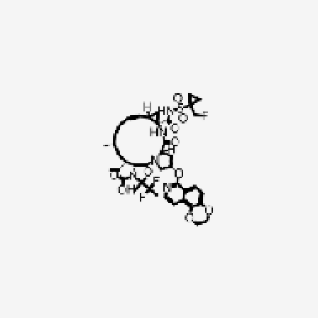 CC[C@@H]1C[C@@H](C)CCC=C[C@@H]2C[C@@]2(C(=O)NS(=O)(=O)C2(CF)CC2)NC(=O)[C@@H]2C[C@@H](Oc3nccc4c5c(ccc34)OCCO5)CN2C(=O)[C@H]1N(C(=O)O)C(C)(C)C(C)(F)F